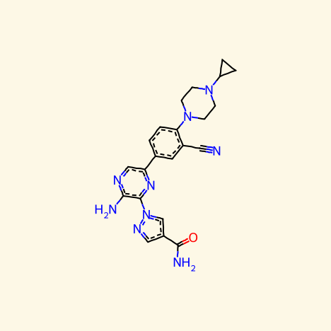 N#Cc1cc(-c2cnc(N)c(-n3cc(C(N)=O)cn3)n2)ccc1N1CCN(C2CC2)CC1